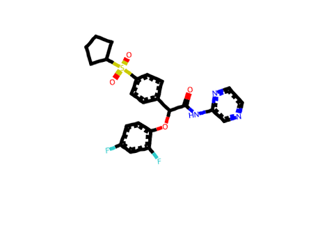 O=C(Nc1cnccn1)C(Oc1ccc(F)cc1F)c1ccc(S(=O)(=O)C2CCCC2)cc1